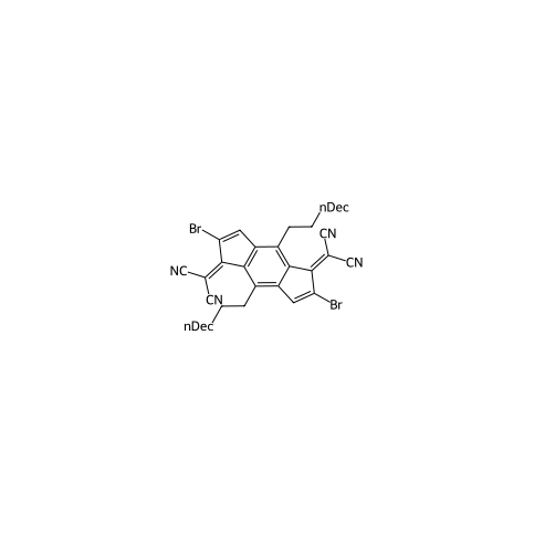 CCCCCCCCCCCCc1c2c(c(CCCCCCCCCCCC)c3c1C(=C(C#N)C#N)C(Br)=C3)C(=C(C#N)C#N)C(Br)=C2